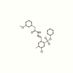 COc1cccc(CC(=O)N/N=C/c2cc(C)c(Cl)cc2S(=O)(=O)Oc2ccccc2)c1